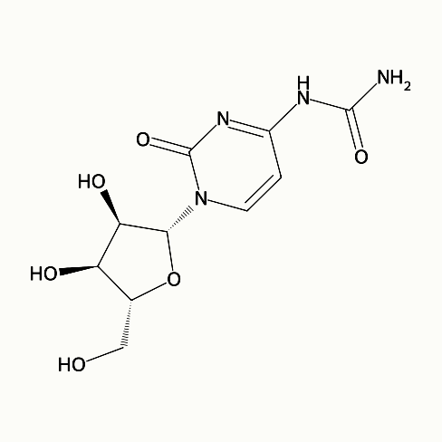 NC(=O)Nc1ccn([C@@H]2O[C@H](CO)[C@@H](O)[C@H]2O)c(=O)n1